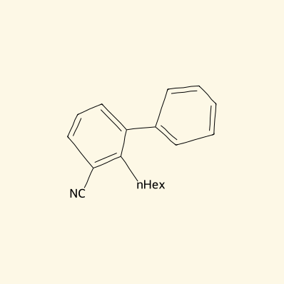 CCCCCCc1c(C#N)cccc1-c1ccccc1